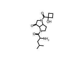 CC(C)CC(N)C(=O)N1CCC2C1C(=O)CN2C(=O)C1(O)CCC1